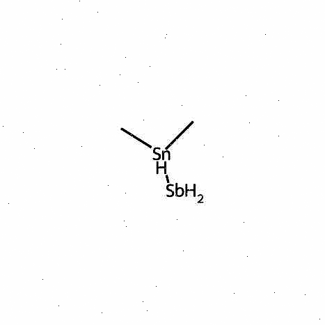 [CH3][SnH]([CH3])[SbH2]